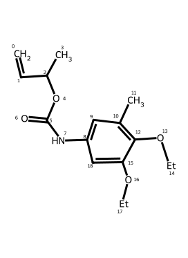 C=CC(C)OC(=O)Nc1cc(C)c(OCC)c(OCC)c1